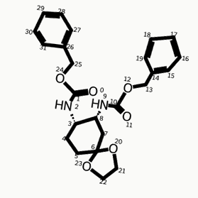 O=C(N[C@H]1CCC2(C[C@H]1NC(=O)OCc1ccccc1)OCCO2)OCc1ccccc1